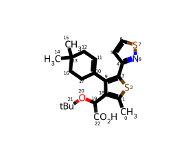 Cc1sc(-c2ccsn2)c(C2=CCC(C)(C)CC2)c1C(OC(C)(C)C)C(=O)O